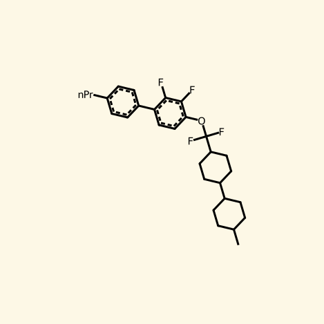 CCCc1ccc(-c2ccc(OC(F)(F)C3CCC(C4CCC(C)CC4)CC3)c(F)c2F)cc1